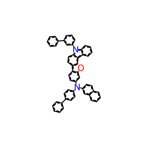 c1ccc(-c2ccc(N(c3ccc4ccccc4c3)c3ccc4c(c3)oc3c4ccc4c3c3ccccc3n4-c3cccc(-c4ccccc4)c3)cc2)cc1